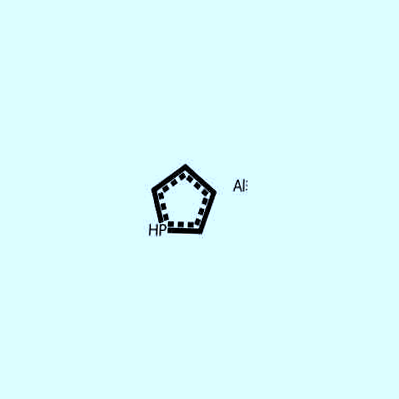 [Al].c1cc[pH]c1